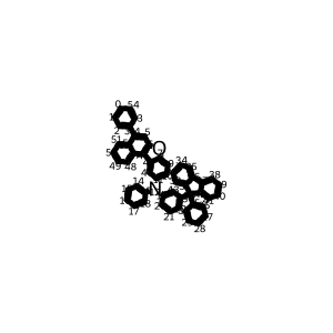 c1ccc(-c2cc3oc4ccc(N(c5ccccc5)c5cccc(C6(c7ccccc7)c7ccccc7-c7ccccc76)c5)cc4c3c3ccccc23)cc1